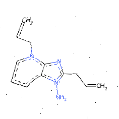 C=CCc1nc2n(CC=C)cccc-2[n+]1N